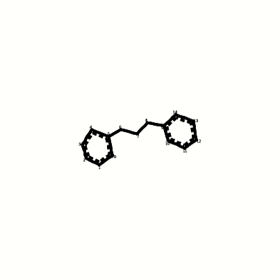 [c]1ccccc1CCCc1[c]cccc1